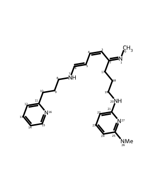 C\N=C(/C=C\C=C\NCCCc1ccccn1)CCCNc1cccc(NC)n1